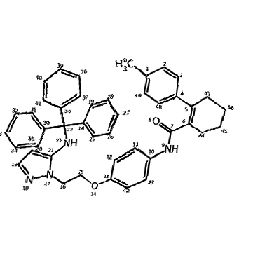 Cc1ccc(C2=C(C(=O)Nc3ccc(OCCn4nccc4NC(c4ccccc4)(c4ccccc4)c4ccccc4)cc3)CCCC2)cc1